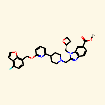 COC(=O)c1ccc2nc(CN3CCC(c4cccc(OCc5ccc(F)c6ccoc56)n4)CC3)n(C[C@@H]3CCO3)c2c1